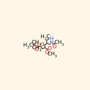 CCCC(CNC(C)=O)C1OC(C(=O)OC(C)(C)C)CC1C(=O)OC